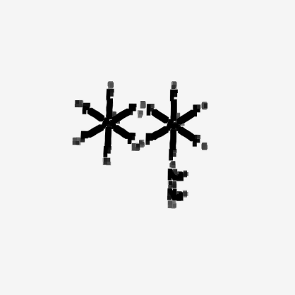 F[As-](F)(F)(F)(F)F.F[As-](F)(F)(F)(F)F.[Na+].[Na+]